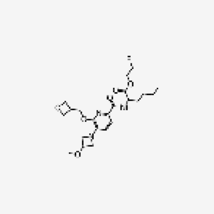 CCCCC(NC(=O)c1ccc(N2CC(OC)C2)c(OCC2COC2)n1)C(=O)OCCF